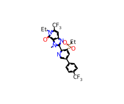 CCn1c(C(F)(F)F)cc2nc(-c3ncc(-c4ccc(C(F)(F)F)cc4)cc3S(=O)(=O)CC)n(C)c2c1=O